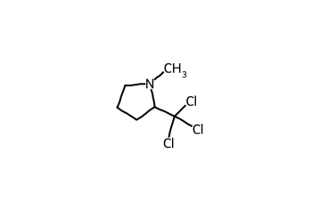 CN1CCCC1C(Cl)(Cl)Cl